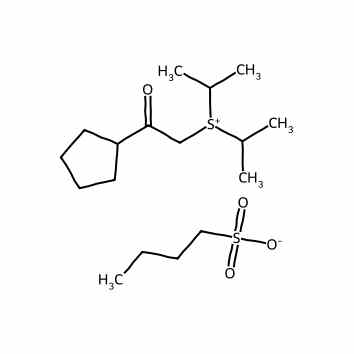 CC(C)[S+](CC(=O)C1CCCC1)C(C)C.CCCCS(=O)(=O)[O-]